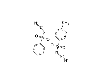 Cc1ccc(S(=O)(=O)N=[N+]=[N-])cc1.[N-]=[N+]=NS(=O)(=O)c1ccccc1